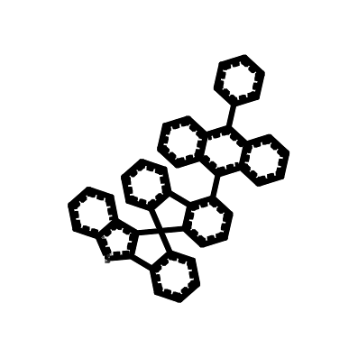 c1ccc(-c2c3ccccc3c(-c3cccc4c3-c3ccccc3C43c4ccccc4-c4sc5ccccc5c43)c3ccccc23)cc1